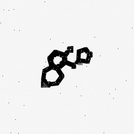 Clc1ccc2c(c1S[C@@H]1CCOC1)CCNCC2